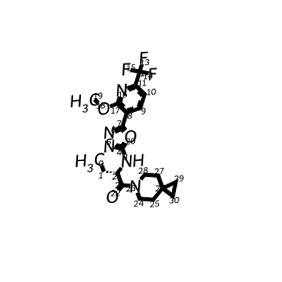 CC[C@H](Nc1nnc(-c2ccc(C(F)(F)F)nc2OC)o1)C(=O)N1CCC2(CC1)CC2